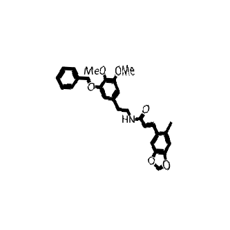 COc1cc(CCNC(=O)/C=C/c2cc3c(cc2C)OCO3)cc(OCc2ccccc2)c1OC